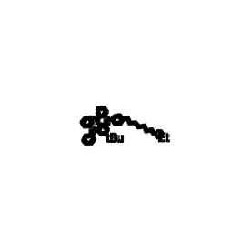 CCOCCCCCCCCc1ccc(B2c3ccccc3N3c4ccccc4B(c4ccccc4)c4cc(C(C)(C)C)cc2c43)cc1